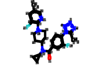 Cc1nnnn1-c1ccc(C(=O)N(C2CC2)C2CCN(c3ncc(C(F)(F)F)cc3F)CC2)cc1F